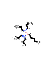 C=CC=CCB(N(CC=C)CC=C)N(CC=C)CC=C